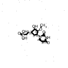 CO[C@@H]1[C@H](O)[C@@H](CCP(=O)(O)O)C[C@H]1n1ccc(=O)[nH]c1=O